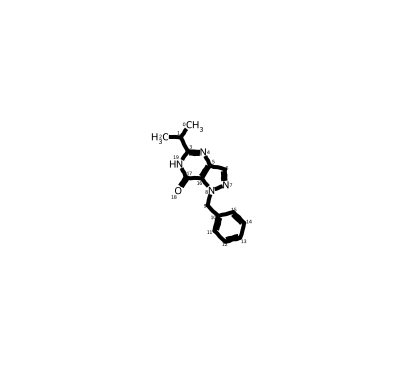 CC(C)c1nc2cnn(Cc3ccccc3)c2c(=O)[nH]1